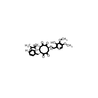 COc1cnc(CN[C@H]2CC(=O)C(=O)[C@H](Cc3ccccc3)[C@H](OC(=O)C(C)C)[C@H](C)C(=O)C2=O)c(O)c1OC